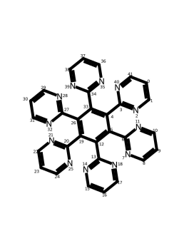 c1cnc(-c2c(-c3ncccn3)c(-c3ncccn3)c(-c3ncccn3)c(-c3ncccn3)c2-c2ncccn2)nc1